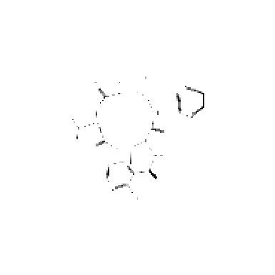 CC(C)C1OC(=O)[C@H](C)[C@H](O)[C@H](Cc2ccccc2)NC(=O)C(NC(=O)c2ncccc2O)[C@@H](C)NC1=O